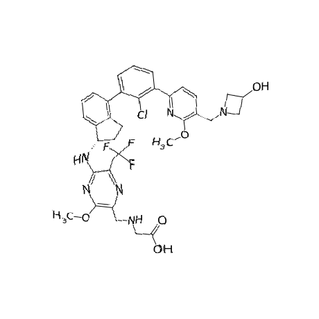 COc1nc(-c2cccc(-c3cccc4c3CC[C@@H]4Nc3nc(OC)c(CNCC(=O)O)nc3C(F)(F)F)c2Cl)ccc1CN1CC(O)C1